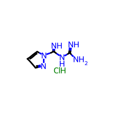 Cl.N=C(N)NC(=N)n1cccn1